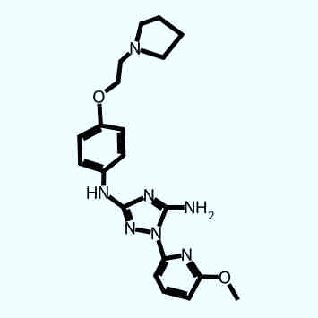 COc1cccc(-n2nc(Nc3ccc(OCCN4CCCC4)cc3)nc2N)n1